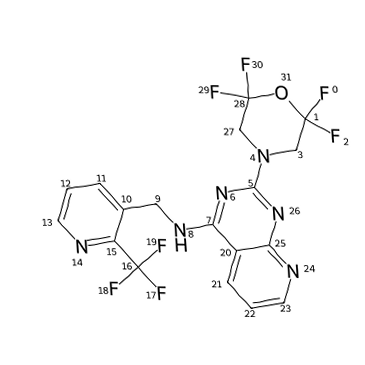 FC1(F)CN(c2nc(NCc3cccnc3C(F)(F)F)c3cccnc3n2)CC(F)(F)O1